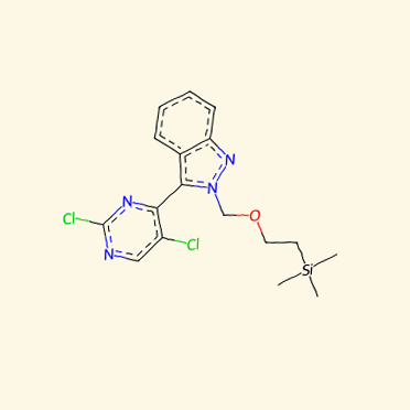 C[Si](C)(C)CCOCn1nc2ccccc2c1-c1nc(Cl)ncc1Cl